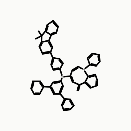 C=C1/C=C(N(c2ccc(-c3ccc4c(c3)-c3ccccc3C4(C)C)cc2)c2cc(-c3ccccc3)cc(-c3ccccc3)c2)\C=C/N(c2ccccc2)c2ccccc21